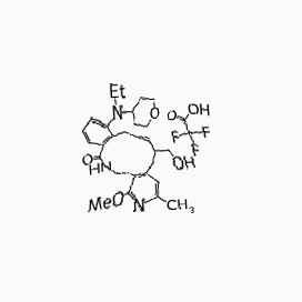 CCN(c1cccc2c1C/C=C/C(CO)Cc1cc(C)nc(OC)c1CNC2=O)C1CCOCC1.O=C(O)C(F)(F)F